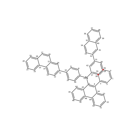 c1ccc(-c2c(N(c3ccc(-c4ccc5c(ccc6ccccc65)c4)cc3)c3cccc(-c4ccc5ccccc5c4)c3)c3ccccc3c3ccccc23)cc1